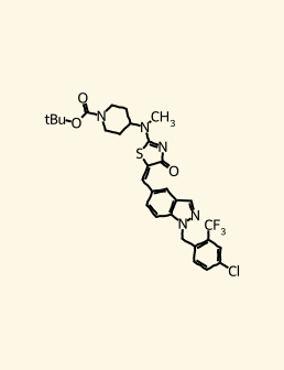 CN(C1=NC(=O)C(=Cc2ccc3c(cnn3Cc3ccc(Cl)cc3C(F)(F)F)c2)S1)C1CCN(C(=O)OC(C)(C)C)CC1